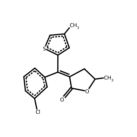 Cc1csc(C(=C2CC(C)OC2=O)c2cccc(Cl)c2)c1